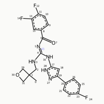 CC1(CN/C(=N/C(=O)c2ccc(F)c(F)c2)Nc2cc(-c3ccc(F)cc3)n[nH]2)COC1